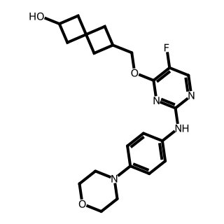 OC1CC2(C1)CC(COc1nc(Nc3ccc(N4CCOCC4)cc3)ncc1F)C2